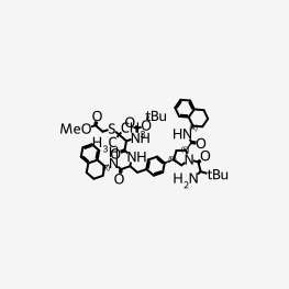 COC(=O)CSC(C)(C)C(NC(=O)OC(C)(C)C)C(=O)NC(Cc1ccc([C@H]2C[C@@H](C(=O)N[C@@H]3CCCc4ccccc43)N(C(=O)C(N)C(C)(C)C)C2)cc1)C(=O)N[C@@H]1CCCc2ccccc21